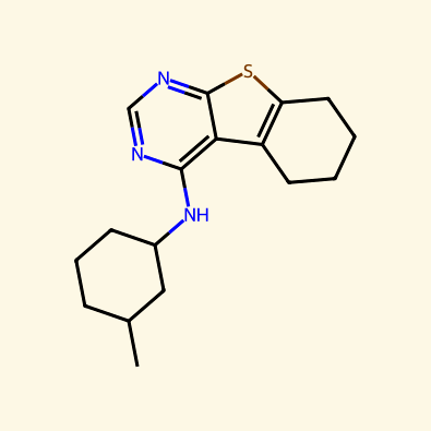 CC1CCCC(Nc2ncnc3sc4c(c23)CCCC4)C1